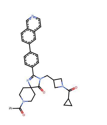 CC(C)C(=O)N1CCC2(CC1)N=C(c1ccc(-c3ccc4cnccc4c3)cc1)N(CC1CN(C(=O)C3CC3)C1)C2=O